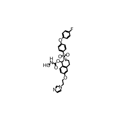 O=C(NO)OC1c2ccc(OCCn3ccnc3)cc2CCN1S(=O)(=O)c1ccc(Oc2ccc(F)cc2)cc1